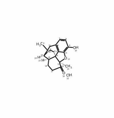 CN1CC[C@]23c4c5ccc(O)c4O[C@@]2(C)C(=O)CC[C@H]3[C@H]1C5.Cl